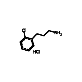 Cl.NCCCc1ccccc1Cl